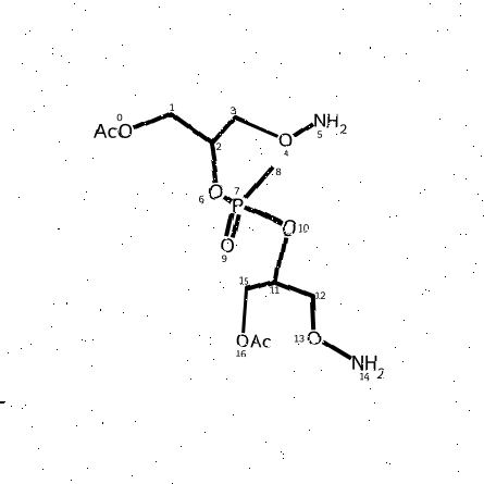 CC(=O)OCC(CON)OP(C)(=O)OC(CON)COC(C)=O